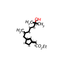 CCOC(=O)/C=C1/C=C(CC(C)CCCC(C)(C)O)CC1